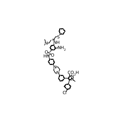 CN(C)CC[C@H](CSc1ccccc1)Nc1ccc(S(=O)(=O)Nc2ccc(N3CCN(c4cccc(-c5c(C(=O)O)nn(C)c5-c5ccc(Cl)cc5)c4)CC3)cc2)cc1N